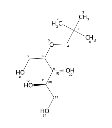 CC(C)(C)COC(CO)[C@H](O)[C@H](O)CO